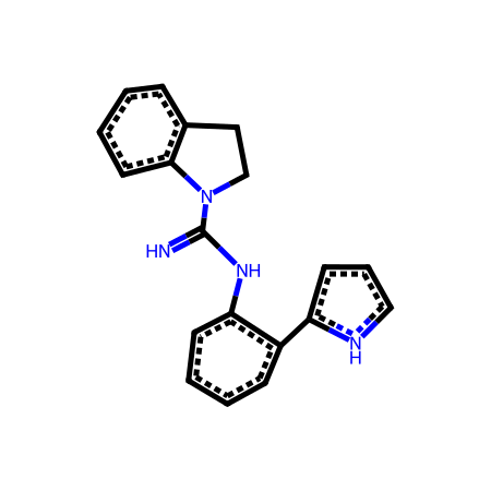 N=C(Nc1ccccc1-c1ccc[nH]1)N1CCc2ccccc21